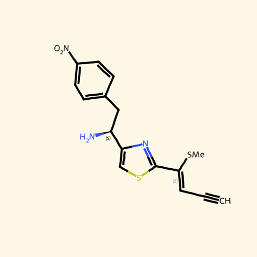 C#C/C=C(\SC)c1nc([C@@H](N)Cc2ccc([N+](=O)[O-])cc2)cs1